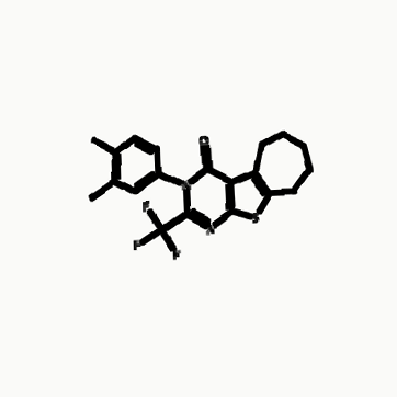 Cc1ccc(-n2c(C(F)(F)F)nc3sc4c(c3c2=O)CCCCC4)cc1C